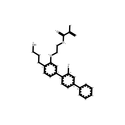 C=C(C)C(=O)OCCOc1cc(-c2ccc(-c3ccccc3)cc2F)ccc1CCCO